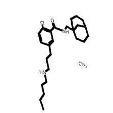 CCCCCNCCCc1ccc(Cl)c(C(=O)NCC23CCCC(CCC2)C3)c1.[CH2]